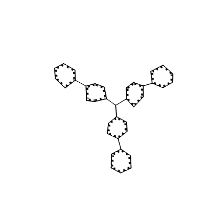 c1ccc(-c2ccc([C](c3ccc(-c4ccccc4)cc3)c3ccc(-c4ccccc4)cc3)cc2)cc1